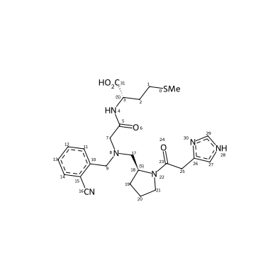 CSCC[C@H](NC(=O)CN(Cc1ccccc1C#N)C[C@@H]1CCCN1C(=O)Cc1c[nH]cn1)C(=O)O